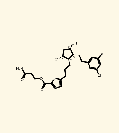 Cc1cc(Cl)cc(CC[C@@H]2[C@@H](CCCc3ccc(C(=O)OCCC(N)=O)s3)[C@H](Cl)C[C@H]2O)c1